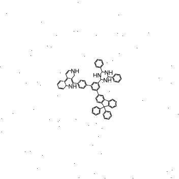 C1=CC2=C3C=CNCC3=C(c3ccc(-c4cc(-c5ccc6c(c5)-c5ccccc5C6(c5ccccc5)c5ccccc5)cc(C5NC(c6ccccc6)NC(c6ccccc6)N5)c4)cc3)NC2C=C1